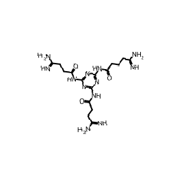 N=C(N)CCCC(=O)Nc1nc(NC(=O)CCC(=N)N)nc(NC(=O)CCC(=N)N)n1